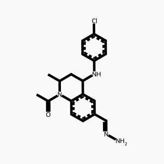 CC(=O)N1c2ccc(/C=N/N)cc2C(Nc2ccc(Cl)cc2)CC1C